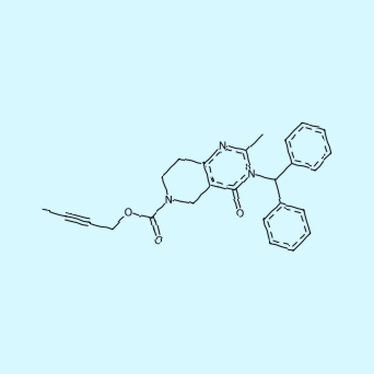 CC#CCOC(=O)N1CCc2nc(C)n(C(c3ccccc3)c3ccccc3)c(=O)c2C1